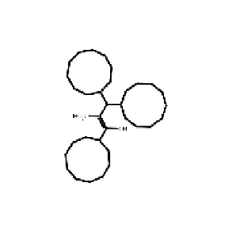 O=C(O)C(=C(O)C1CCCCCCCCC1)C(C1CCCCCCCCC1)C1CCCCCCCCC1